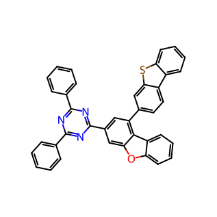 c1ccc(-c2nc(-c3ccccc3)nc(-c3cc(-c4ccc5c(c4)sc4ccccc45)c4c(c3)oc3ccccc34)n2)cc1